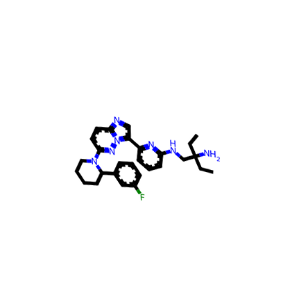 CCC(N)(CC)CNc1cccc(-c2cnc3ccc(N4CCCCC4c4cccc(F)c4)nn23)n1